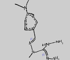 CN(/N=C/c1ccc(N(C)C)cc1)/C(=N/N)NN